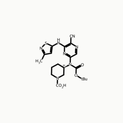 Cc1cc(Nc2nc(N(C(=O)OC(C)(C)C)[C@@H]3CCCN(C(=O)O)C3)cnc2C#N)sn1